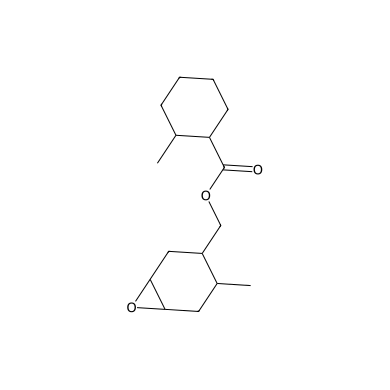 CC1CC2OC2CC1COC(=O)C1CCCCC1C